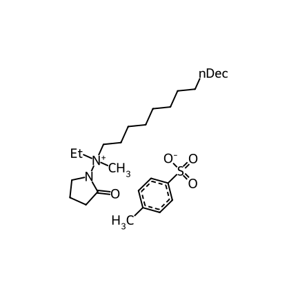 CCCCCCCCCCCCCCCCCC[N+](C)(CC)N1CCCC1=O.Cc1ccc(S(=O)(=O)[O-])cc1